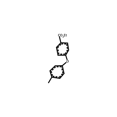 CCOC(=O)c1ccc(Oc2ccc(C)cc2)cc1